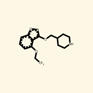 FC(F)(F)COc1cccc2onc(OCC3CCNCC3)c12